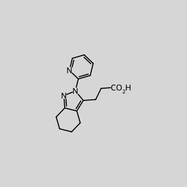 O=C(O)CCc1c2c(nn1-c1ccccn1)CCCC2